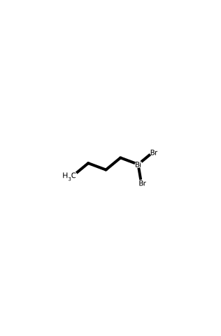 CCC[CH2][Bi]([Br])[Br]